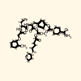 Cc1ccccc1OCC(=O)N[C@@H](CC(C)C)C(=O)N[C@@H](Cc1ccc(OC(=O)N2CCC(C(N)=O)CC2)cc1)C(=O)OC(C)OC(=O)CCCC[C@@H]1CCSS1